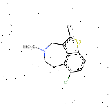 CCOC(=O)N1CCc2c(Cl)ccc3sc(C(F)(F)F)c(c23)C1